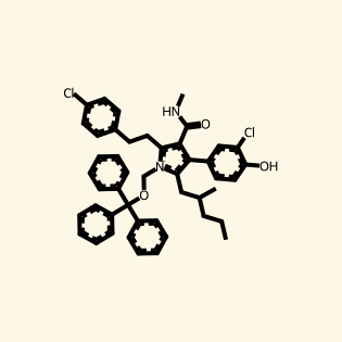 CCCC(C)Cc1c(-c2ccc(O)c(Cl)c2)c(C(=O)NC)c(CCc2ccc(Cl)cc2)n1COC(c1ccccc1)(c1ccccc1)c1ccccc1